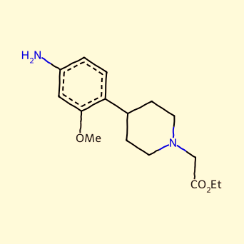 CCOC(=O)CN1CCC(c2ccc(N)cc2OC)CC1